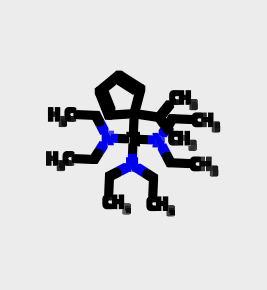 CC[N](CC)[Ti]([N](CC)CC)([N](CC)CC)[C]1(C(C)C)C=CC=C1